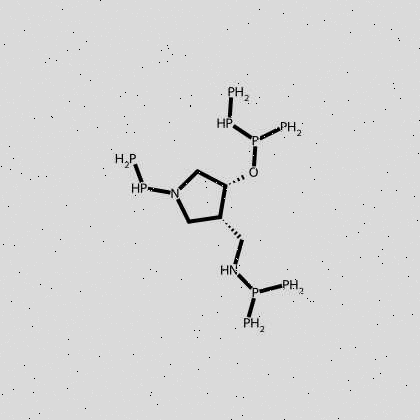 PPN1C[C@@H](CNP(P)P)[C@@H](OP(P)PP)C1